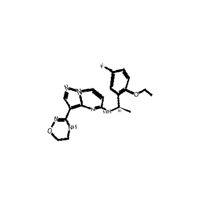 CCOc1ccc(F)cc1[C@@H](C)Nc1ccn2ncc(C3=NOCCN3)c2n1